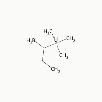 BC(CC)[PH](C)(C)C